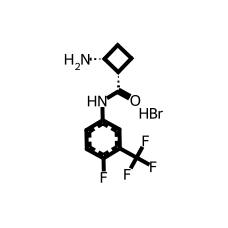 Br.N[C@@H]1CC[C@@H]1C(=O)Nc1ccc(F)c(C(F)(F)F)c1